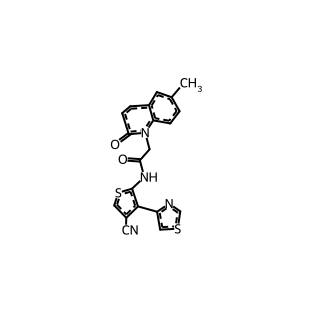 Cc1ccc2c(ccc(=O)n2CC(=O)Nc2scc(C#N)c2-c2cscn2)c1